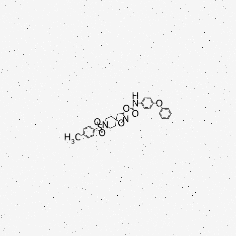 Cc1ccc(S(=O)(=O)N2CCC3(CC2)CC(OC(=O)Nc2ccc(Oc4ccccc4)cc2)=NO3)cc1